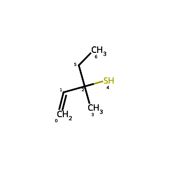 C=CC(C)(S)CC